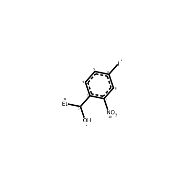 CCC(O)c1ccc(I)cc1[N+](=O)[O-]